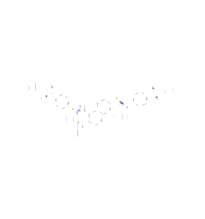 CCCS(=O)(=O)c1ccc(/N=N/c2c(C)cc3c(/N=N/c4ccc(S(=O)(=O)CCC)cc4C)c(NCC)ccc3c2O)cc1